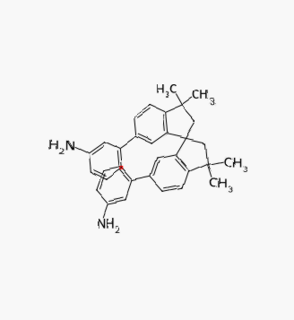 CC1(C)CC2(CC(C)(C)c3ccc(-c4cccc(N)c4)cc32)c2cc(-c3cccc(N)c3)ccc21